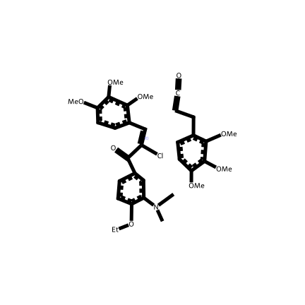 CCOc1ccc(C(=O)/C(Cl)=C\c2ccc(OC)c(OC)c2OC)cc1N(C)C.COc1ccc(CC=C=O)c(OC)c1OC